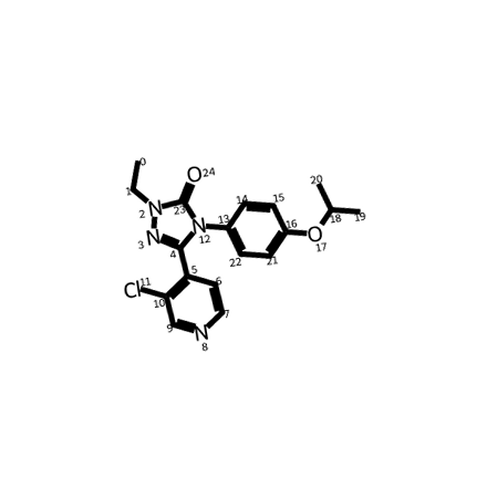 CCn1nc(-c2ccncc2Cl)n(-c2ccc(OC(C)C)cc2)c1=O